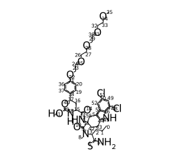 CCCC(C(N)=S)N(C)C(=O)C1(NC(=O)[C@H](CCc2ccc(OCCOCCOCCOCCOC)cc2)NC(=O)O)CCc2[nH]c3c(Cl)cc(Cl)cc3c2C1